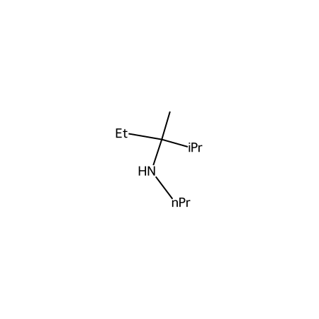 CCCNC(C)(CC)C(C)C